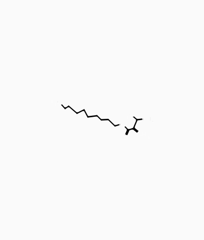 C=C(C(=O)OCCCCCCCCCC)C(C)C